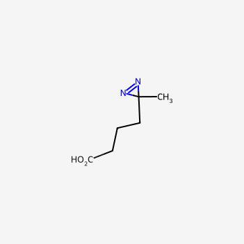 CC1(CCCC(=O)O)N=N1